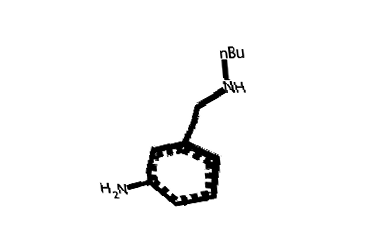 CCCCNCc1cccc(N)c1